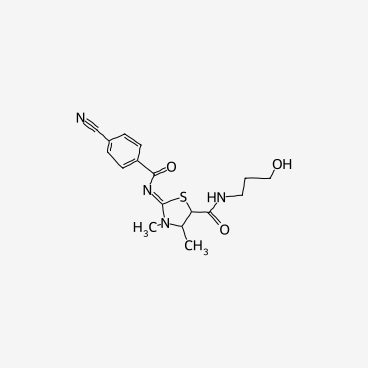 CC1C(C(=O)NCCCO)SC(=NC(=O)c2ccc(C#N)cc2)N1C